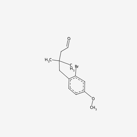 COc1ccc(CC(C)(C)CC=O)c(Br)c1